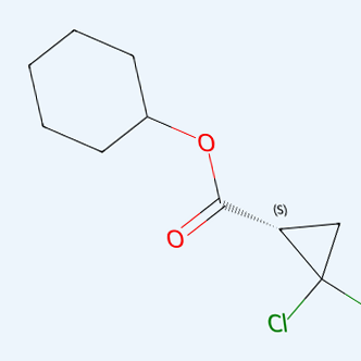 O=C(OC1CCCCC1)[C@@H]1CC1(F)Cl